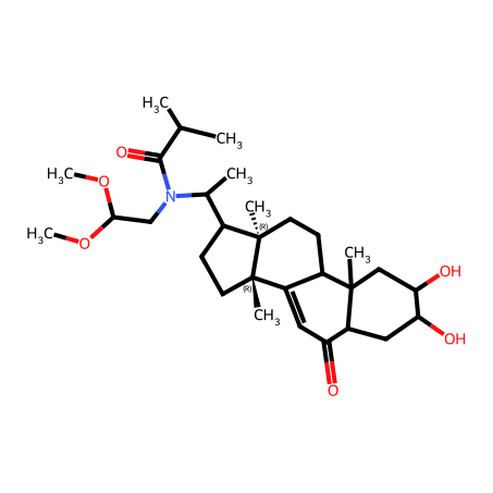 COC(CN(C(=O)C(C)C)C(C)C1CC[C@@]2(C)C3=CC(=O)C4CC(O)C(O)CC4(C)C3CC[C@]12C)OC